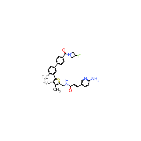 Cc1c(CNC(=O)/C=C/c2ccc(N)nc2)sc(-c2cc(-c3ccc(C(=O)N4CC(F)C4)cc3)ccc2C(F)(F)F)c1C